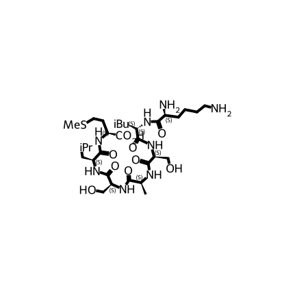 CC[C@H](C)[C@H](NC(=O)[C@@H](N)CCCCN)C(=O)N[C@@H](CO)C(=O)N[C@@H](C)C(=O)N[C@@H](CO)C(=O)N[C@@H](CC(C)C)C(=O)N[C@@H](CCSC)C(=O)O